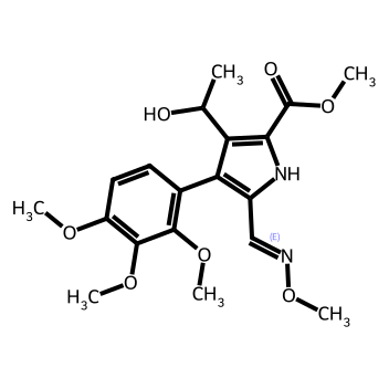 CO/N=C/c1[nH]c(C(=O)OC)c(C(C)O)c1-c1ccc(OC)c(OC)c1OC